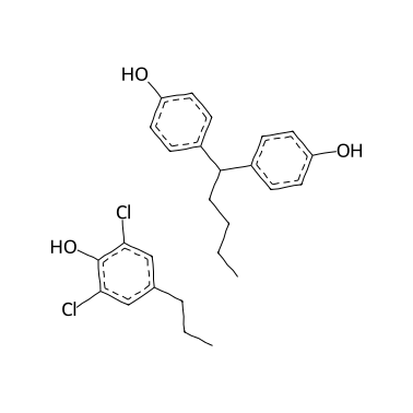 CCCCC(c1ccc(O)cc1)c1ccc(O)cc1.CCCc1cc(Cl)c(O)c(Cl)c1